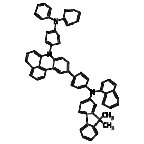 CC1(C)c2ccccc2-c2ccc(N(c3ccc(-c4ccc5c(c4)-c4cccc6cccc(c46)N5c4ccc(N(c5ccccc5)c5ccccc5)cc4)cc3)c3cccc4ccccc34)cc21